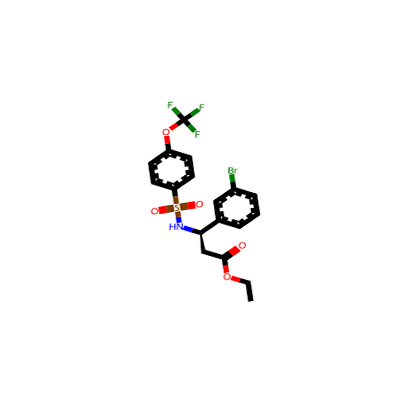 CCOC(=O)C[C@@H](NS(=O)(=O)c1ccc(OC(F)(F)F)cc1)c1cccc(Br)c1